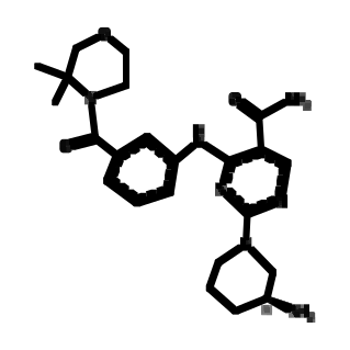 CC1(C)COCCN1C(=O)c1cccc(Nc2nc(N3CCC[C@H](N)C3)ncc2C(N)=O)c1